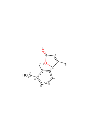 CC1=CC(=O)OC1.Cc1ccccc1S(=O)(=O)O